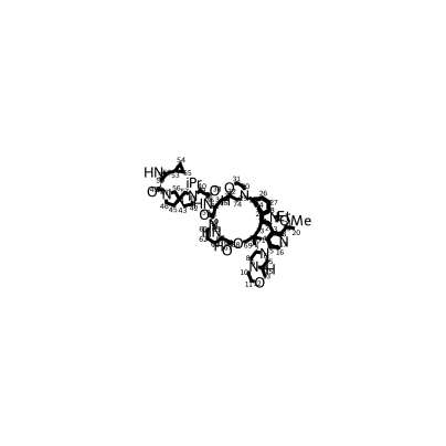 CCn1c(-c2cc(N3CCN4CCOC[C@@H]4C3)cnc2[C@H](C)OC)c2c3cc(ccc31)N1CCO[C@@H](C[C@H](NC(=O)C(C(C)C)N3CC[C@]4(CCN(C(=O)[C@@H]5NC5C5CC5)C4)C3)C(=O)N3CCC[C@H](N3)C(=O)OCC(C)(C)C2)C1